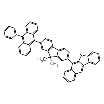 CC1(C)c2cc(-c3c4ccccc4c(-c4ccccc4)c4ccccc34)ccc2-c2ccc(-c3c4ccccc4cc4c3sc3ccccc34)cc21